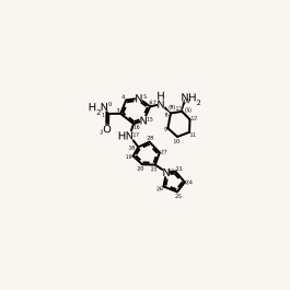 NC(=O)c1cnc(N[C@@H]2CCCC[C@@H]2N)nc1Nc1ccc(-n2cccc2)cc1